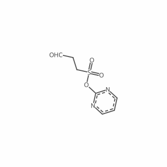 O=CCCS(=O)(=O)Oc1ncccn1